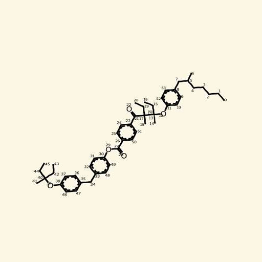 CCCCCC(C)Cc1ccc(O[C@@](C)(CC)C(C)(CC)C(=O)c2ccc(C(=O)Oc3ccc(Cc4ccc(OC(C)(CC)CC)cc4)cc3)cc2)cc1